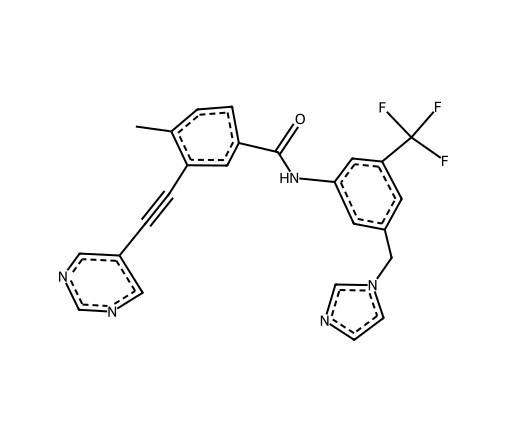 Cc1ccc(C(=O)Nc2cc(Cn3ccnc3)cc(C(F)(F)F)c2)cc1C#Cc1cncnc1